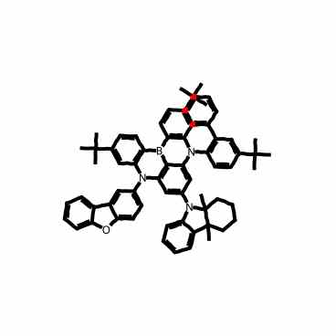 CC(C)(C)c1ccc(N2c3cc(C(C)(C)C)ccc3B3c4ccc(C(C)(C)C)cc4N(c4ccc5oc6ccccc6c5c4)c4cc(N5c6ccccc6C6(C)CCCCC56C)cc2c43)c(-c2ccccc2)c1